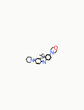 C[Si]1(C)C2=CC(=[N+]3CCCCC3)C=CC2=Nc2ccc(N3CCOCC3)cc21